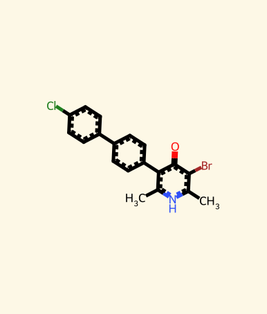 Cc1[nH]c(C)c(-c2ccc(-c3ccc(Cl)cc3)cc2)c(=O)c1Br